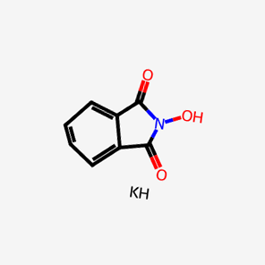 O=C1c2ccccc2C(=O)N1O.[KH]